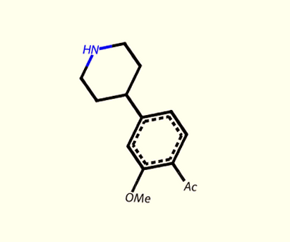 COc1cc(C2CCNCC2)ccc1C(C)=O